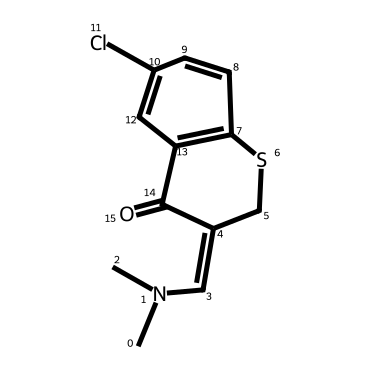 CN(C)C=C1CSc2ccc(Cl)cc2C1=O